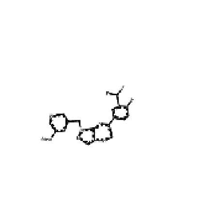 CNc1cncc(Cn2ncc3ncc(-c4ccc(F)c(C(F)F)c4)nc32)c1